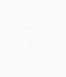 C=CC(=O)N1CCCN(C(=O)c2cc(Sc3cnc(NC(=O)C4CC4)s3)ccc2OC)CC1C